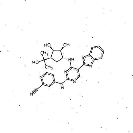 CC(C)(O)[C@@H]1C[C@@H](Nc2nc(Nc3ccnc(C#N)c3)ncc2-c2nc3ccccc3s2)[C@H](O)[C@@H]1O